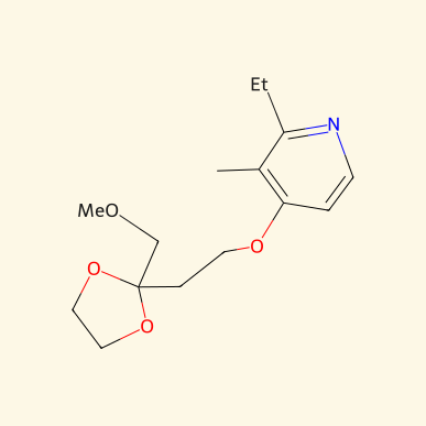 CCc1nccc(OCCC2(COC)OCCO2)c1C